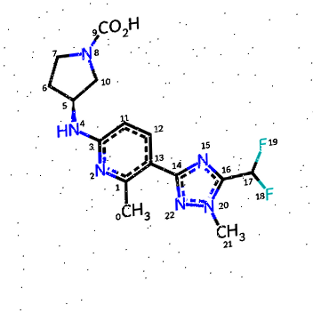 Cc1nc(N[C@H]2CCN(C(=O)O)C2)ccc1-c1nc(C(F)F)n(C)n1